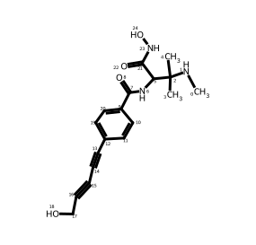 CNC(C)(C)C(NC(=O)c1ccc(C#CC#CCO)cc1)C(=O)NO